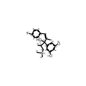 C/C(=C/c1ccc(F)cc1)C(O)(c1cc(Cl)cc(Cl)c1)C(C)CN(C)C